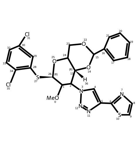 COC1C(n2cc(-c3nccs3)nn2)[C@H]2OC(c3ccccc3)OCC2O[C@@H]1Sc1cc(Cl)ccc1Cl